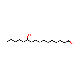 CCCCCC(O)CCCCCCCCCC=O